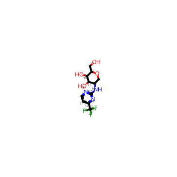 OCC1OCC(Nc2nccc(C(F)(F)F)n2)C(O)C1O